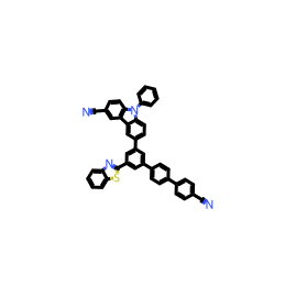 N#Cc1ccc(-c2ccc(-c3cc(-c4ccc5c(c4)c4cc(C#N)ccc4n5-c4ccccc4)cc(-c4nc5ccccc5s4)c3)cc2)cc1